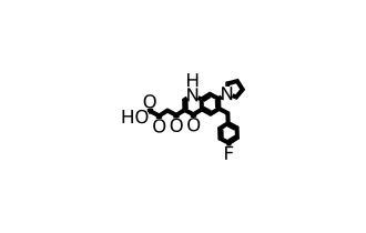 O=C(O)C(=O)CC(=O)c1c[nH]c2cc(N3CCCC3)c(Cc3ccc(F)cc3)cc2c1=O